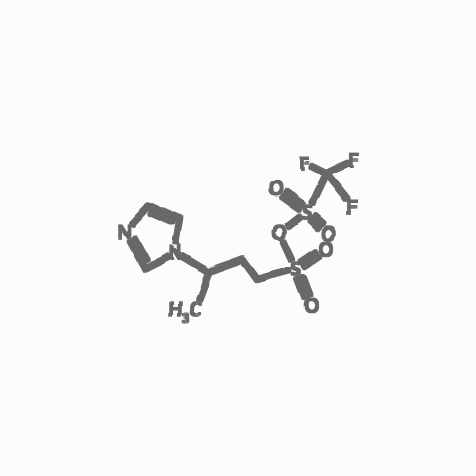 CC(CCS(=O)(=O)OS(=O)(=O)C(F)(F)F)n1ccnc1